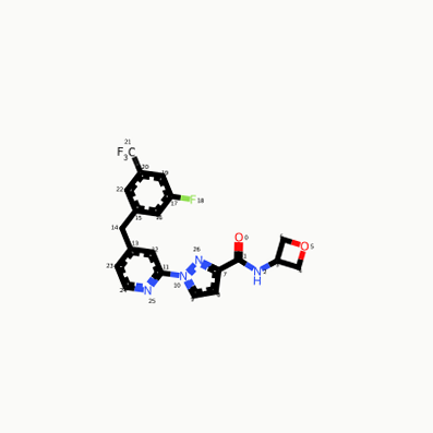 O=C(NC1COC1)c1ccn(-c2cc(Cc3cc(F)cc(C(F)(F)F)c3)ccn2)n1